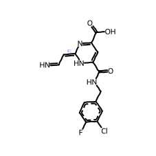 N=C/C=C1/N=C(C(=O)O)C=C(C(=O)NCc2ccc(F)c(Cl)c2)N1